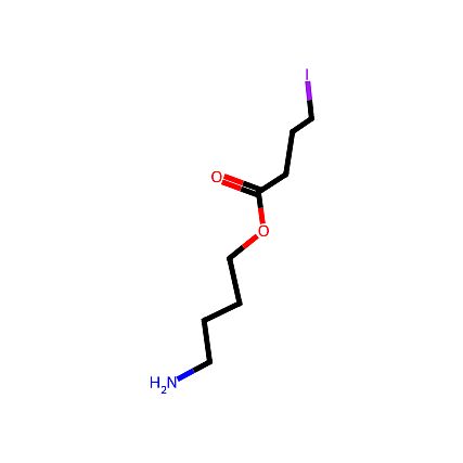 NCCCCOC(=O)CCCI